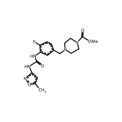 COC(=O)N1CCN(Cc2ccc(F)c(NC(=O)Nc3cc(C)on3)c2)CC1